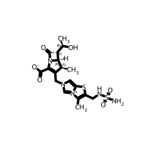 Cc1c(CNS(N)(=O)=O)sc2cn(CC3=C(C(=O)[O-])N4C(=O)[C@H]([C@@H](C)O)[C@H]4[C@H]3C)c[n+]12